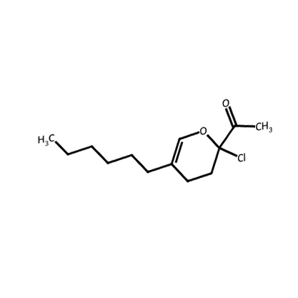 CCCCCCC1=COC(Cl)(C(C)=O)CC1